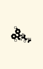 CC(C)NC(=O)c1cnn2c(-c3ccc(Cl)cc3)c(-c3ccccc3Cl)cnc12